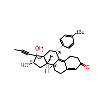 CC#C[C@]1(O)[C@H](O)C[C@H]2[C@@H]3CCC4=CC(=O)CCC4=C3[C@@H](c3ccc(C(C)(C)C)cc3)C[C@@]21C